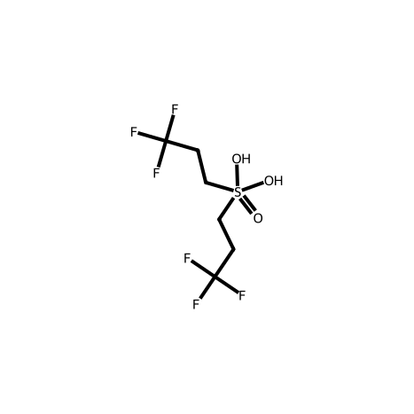 O=S(O)(O)(CCC(F)(F)F)CCC(F)(F)F